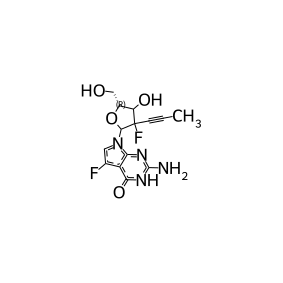 CC#CC1(F)C(O)[C@@H](CO)OC1n1cc(F)c2c(=O)[nH]c(N)nc21